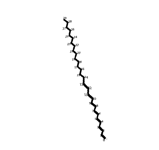 [CH]=CC=CC=CC=CC=CC=CC=CCCCCCCCCCCCCCCCC